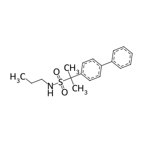 CCCNS(=O)(=O)C(C)(C)c1ccc(-c2ccccc2)cc1